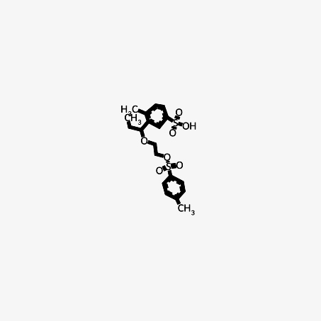 CCC(OCCOS(=O)(=O)c1ccc(C)cc1)c1cc(S(=O)(=O)O)ccc1C